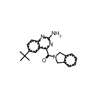 CC(C)(C)c1ccc2nc(N)nc(C(=O)N3Cc4ccccc4C3)c2c1